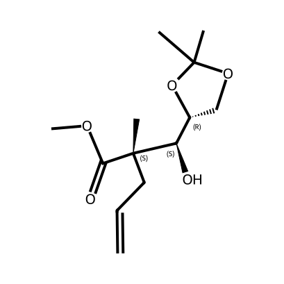 C=CC[C@](C)(C(=O)OC)[C@H](O)[C@H]1COC(C)(C)O1